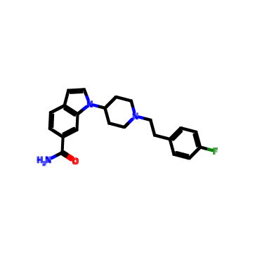 NC(=O)c1ccc2ccn(C3CCN(CCc4ccc(F)cc4)CC3)c2c1